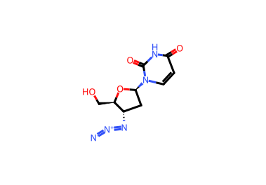 [N-]=[N+]=N[C@H]1C[C@H](n2ccc(=O)[nH]c2=O)O[C@@H]1CO